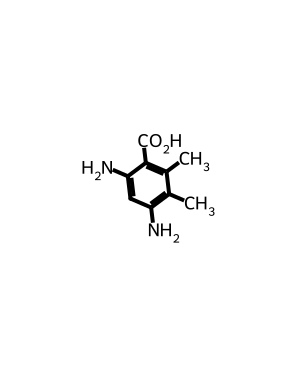 Cc1c(N)cc(N)c(C(=O)O)c1C